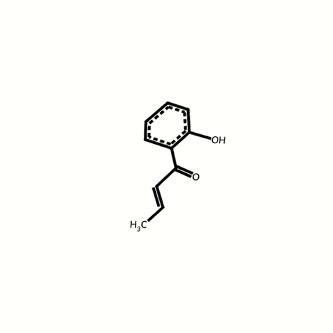 C/C=C/C(=O)c1ccccc1O